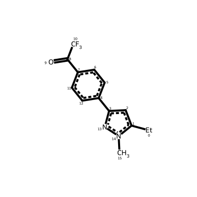 CCc1cc(-c2ccc(C(=O)C(F)(F)F)cc2)nn1C